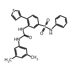 Cc1cc(C)cc(NC(=O)Nc2cc(S(=O)(=O)Nc3ccccc3)ccc2-c2ccsc2)c1